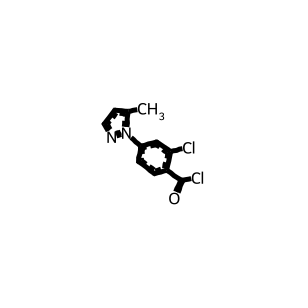 Cc1ccnn1-c1ccc(C(=O)Cl)c(Cl)c1